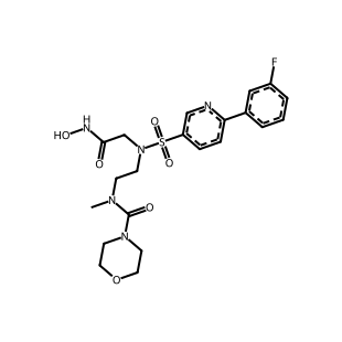 CN(CCN(CC(=O)NO)S(=O)(=O)c1ccc(-c2cccc(F)c2)nc1)C(=O)N1CCOCC1